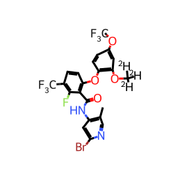 [2H]C([2H])([2H])Oc1cc(OC(F)(F)F)ccc1Oc1ccc(C(F)(F)F)c(F)c1C(=O)Nc1cc(Br)ncc1C